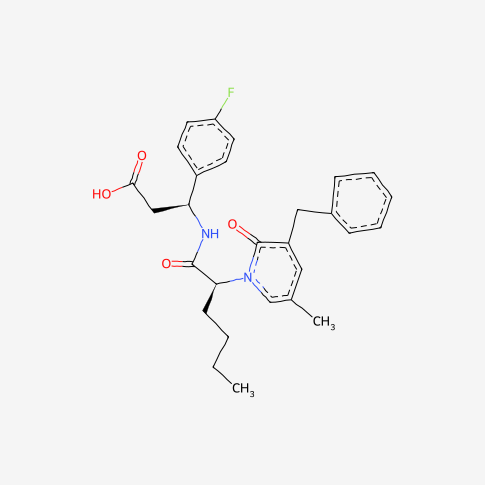 CCCC[C@@H](C(=O)N[C@@H](CC(=O)O)c1ccc(F)cc1)n1cc(C)cc(Cc2ccccc2)c1=O